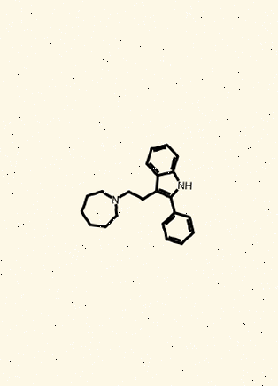 c1ccc(-c2[nH]c3ccccc3c2CCN2CCCCCC2)cc1